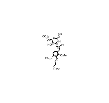 COCCCOc1c(C(=O)O)ccc(C[C@@H](C[C@H](NC(=O)OC(C)(C)C)[C@@H](O)C[C@@H](C)C(=O)O)C(C)C)c1OC